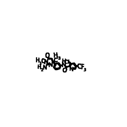 CN1C(=O)C[C@@](C)(c2cccc(NC(=O)c3ncc(C(F)(F)F)cc3Cl)c2)N=C1N